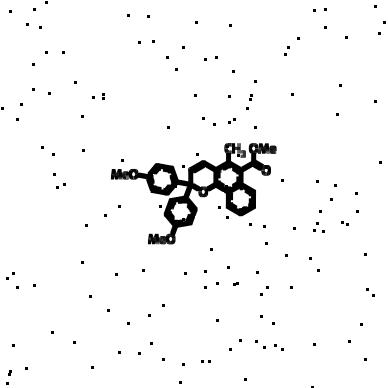 COC(=O)c1c(C)c2c(c3ccccc13)OC(c1ccc(OC)cc1)(c1ccc(OC)cc1)C=C2